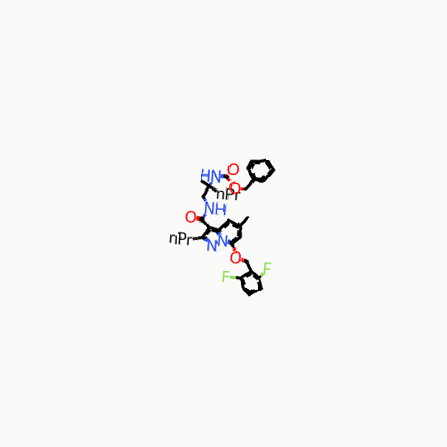 CCCc1nn2c(OCc3c(F)cccc3F)cc(C)cc2c1C(=O)NCC(C)(CCC)NC(=O)OCc1ccccc1